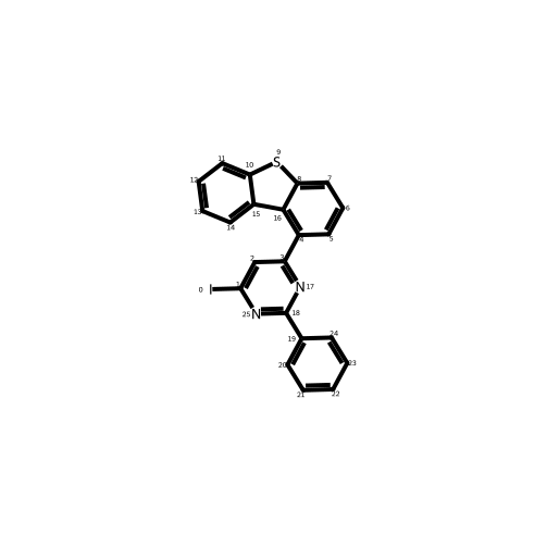 Ic1cc(-c2cccc3sc4ccccc4c23)nc(-c2ccccc2)n1